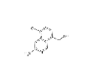 Nc1cc2c(Cl)ccc(CO)c2cn1